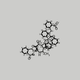 CC(NC(=O)OCc1ccccc1[N+](=O)[O-])C1C(=O)N(CP(C(=O)OCc2ccccc2[N+](=O)[O-])(c2ccccc2)(c2ccccc2)c2ccccc2)C1C(C)C(=O)Cl